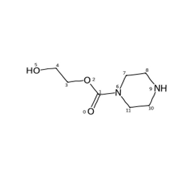 O=C(OCCO)N1CCNCC1